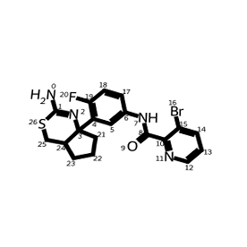 NC1=NC2(c3cc(NC(=O)c4ncccc4Br)ccc3F)CCCC2CS1